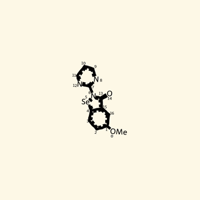 COc1ccc2[se]n(-c3ncccn3)c(=O)c2c1